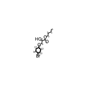 CCCCOC(=O)C(O)COc1ccc(Br)cc1